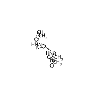 Cc1c(C(=O)NCC#Cc2ccc3nc(Nc4ccc(CN(C)C)cc4)ncc3c2)c(=O)n(Cc2ccccc2)n1C